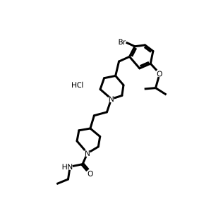 CCNC(=O)N1CCC(CCN2CCC(Cc3cc(OC(C)C)ccc3Br)CC2)CC1.Cl